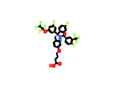 O=C(O)CCCOc1ccc(C[C@@](NC(=O)c2ccc(F)c(C(F)(F)F)c2)(c2ccc(F)cc2)c2cc(F)cc(OC(F)(F)C(F)F)c2)cc1